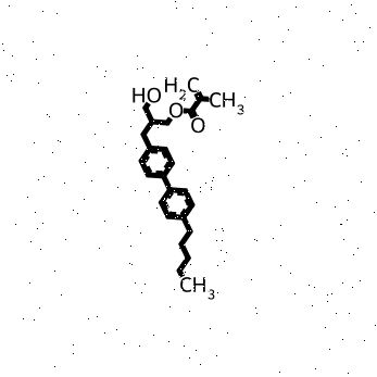 C=C(C)C(=O)OCC(CO)Cc1ccc(-c2ccc(CCCCC)cc2)cc1